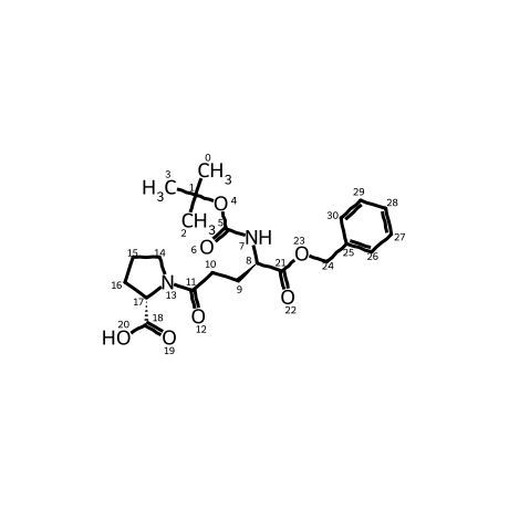 CC(C)(C)OC(=O)N[C@H](CCC(=O)N1CCC[C@H]1C(=O)O)C(=O)OCc1ccccc1